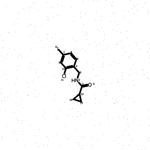 O=C(NCc1ccc(I)cc1Cl)C1CC1